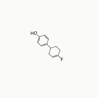 Oc1ccc(C2CC=C(F)CC2)cc1